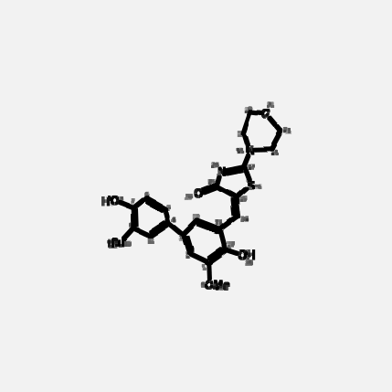 COc1cc(-c2ccc(O)c(C(C)(C)C)c2)cc(C=C2SC(N3CCOCC3)=NC2=O)c1O